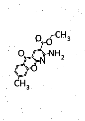 CCOC(=O)c1cc2c(=O)c3ccc(C)cc3oc2nc1N